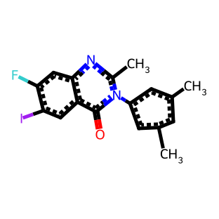 Cc1cc(C)cc(-n2c(C)nc3cc(F)c(I)cc3c2=O)c1